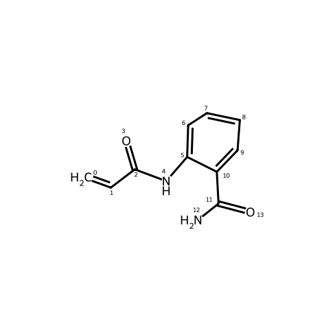 C=CC(=O)Nc1ccccc1C(N)=O